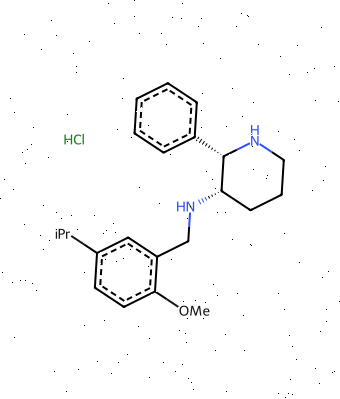 COc1ccc(C(C)C)cc1CN[C@H]1CCCN[C@H]1c1ccccc1.Cl